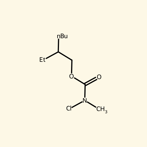 CCCCC(CC)COC(=O)N(C)Cl